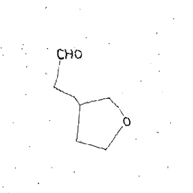 O=CCC1CCOC1